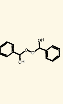 OC(OOC(O)c1ccccc1)c1ccccc1